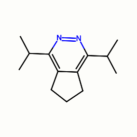 CC(C)c1nnc(C(C)C)c2c1CCC2